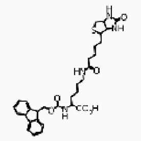 O=C(CCCCC1SCC2NC(=O)NC21)NCCCCC(NC(=O)OCC1c2ccccc2-c2ccccc21)C(=O)O